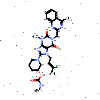 CC(Cl)=CCn1c(N2CCC[C@@H](OC(=O)NC(C)C)C2)nc2c1c(=O)n(Cc1nc(C)c3ccccc3n1)c(=O)n2C